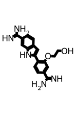 N=C(N)c1ccc(-c2cc3ccc(C(=N)N)cc3[nH]2)c(OCCO)c1